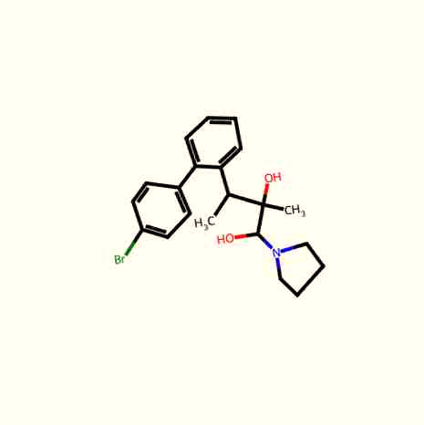 CC(c1ccccc1-c1ccc(Br)cc1)C(C)(O)C(O)N1CCCC1